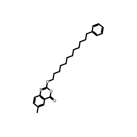 Cc1ccc2nc(OCCCCCCCCCCCCc3ccccc3)oc(=O)c2c1